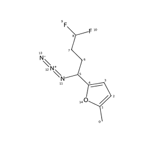 Cc1ccc(C(CCC(F)F)N=[N+]=[N-])o1